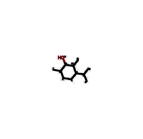 CC(C)C1CCC(C)C(O)C1C